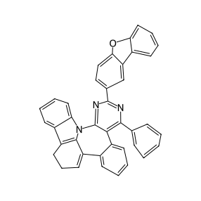 C1=C2c3ccccc3-c3c(-c4ccccc4)nc(-c4ccc5oc6ccccc6c5c4)nc3-n3c2c(c2ccccc23)CC1